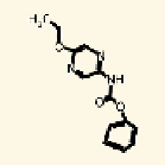 CCOc1cnc(NC(=O)Oc2ccccc2)cn1